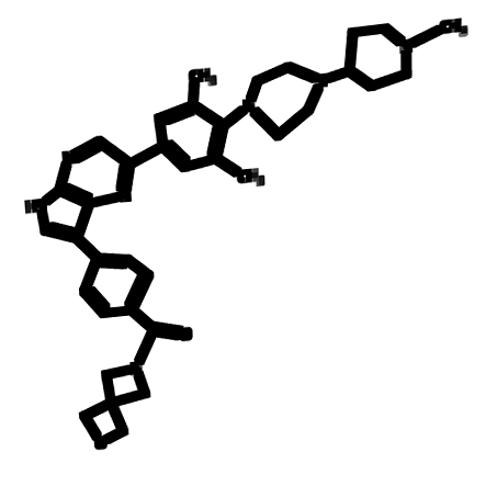 Cc1cc(-c2cnc3[nH]cc(-c4ccc(C(=O)N5CC6(COC6)C5)cc4)c3n2)cc(C)c1N1CCN(C2CCN(C)CC2)CC1